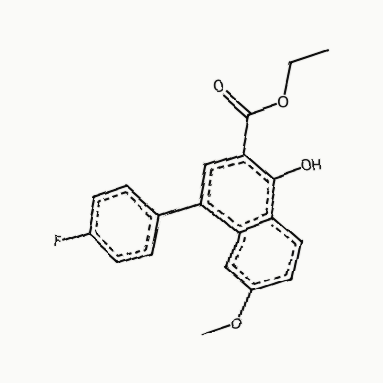 CCOC(=O)c1cc(-c2ccc(F)cc2)c2cc(OC)ccc2c1O